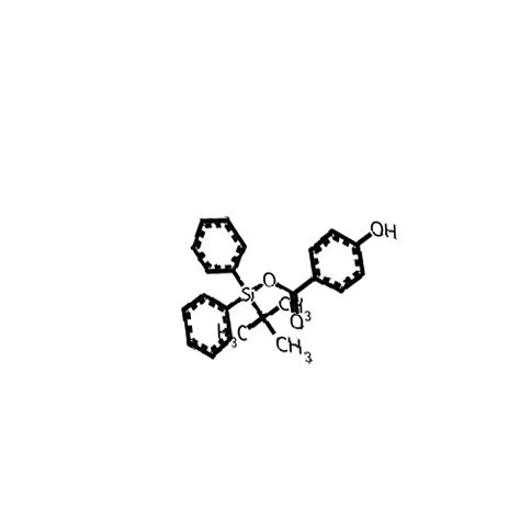 CC(C)(C)[Si](OC(=O)c1ccc(O)cc1)(c1ccccc1)c1ccccc1